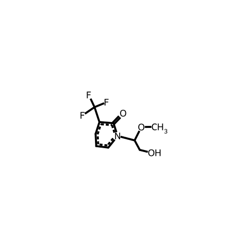 COC(CO)n1cccc(C(F)(F)F)c1=O